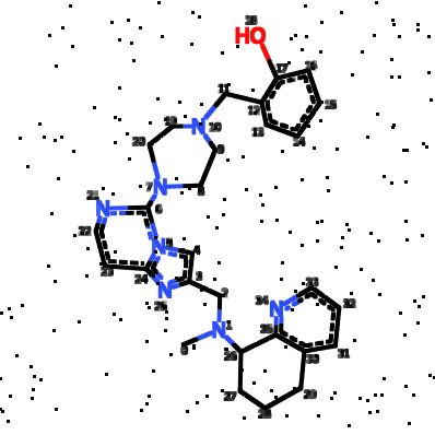 CN(Cc1cn2c(N3CCN(Cc4ccccc4O)CC3)nccc2n1)C1CCCc2cccnc21